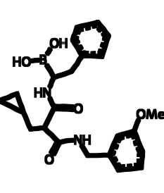 COc1cccc(CNC(=O)C(CC2CC2)C(=O)NC(Cc2ccccc2)B(O)O)c1